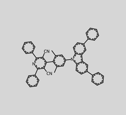 Cc1cc(-n2c3ccc(-c4ccccc4)cc3c3cc(-c4ccccc4)ccc32)cc(C)c1-c1c(C#N)c(-c2ccccc2)nc(-c2ccccc2)c1C#N